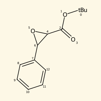 CC(C)(C)OC(=O)C1OC1c1ccccc1